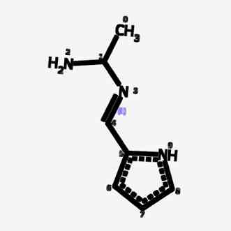 CC(N)/N=C/c1ccc[nH]1